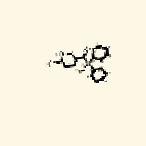 C=C/C=C\C(CC)C(=O)[Si](C)(c1ccccc1)c1ccccc1